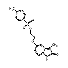 Cc1ccc(S(=O)(=O)OCCOc2ccc3[nH]c(=O)n(C)c3c2)cc1